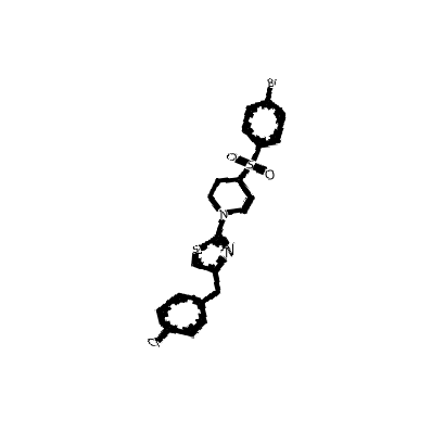 O=S(=O)(c1ccc(Br)cc1)C1CCN(c2nc(Cc3ccc(Cl)cc3)cs2)CC1